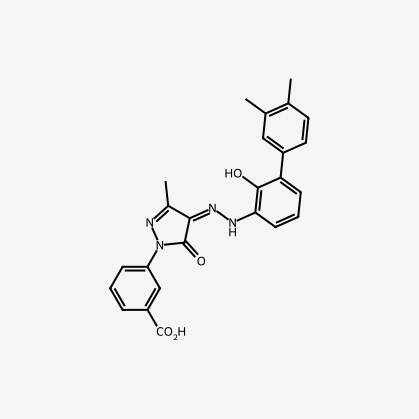 CC1=NN(c2cccc(C(=O)O)c2)C(=O)/C1=N\Nc1cccc(-c2ccc(C)c(C)c2)c1O